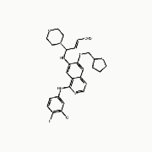 O=CC=CC(Nc1cc2c(Nc3ccc(F)c(Cl)c3)ncnc2cc1OCC1CCCO1)N1CCOCC1